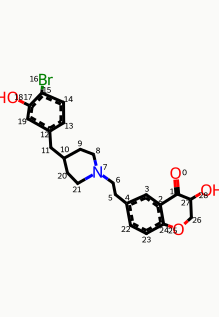 O=C1c2cc(CCN3CCC(Cc4ccc(Br)c(O)c4)CC3)ccc2OCC1O